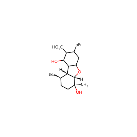 CCCC1CC2O[C@H]3[C@@H](C2C(O)C1C(=O)O)[C@H](C(C)(C)C)CC[C@]3(C)O